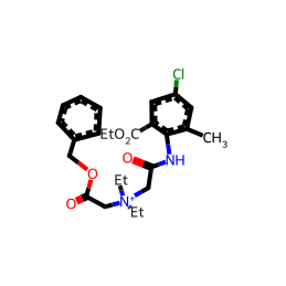 CCOC(=O)c1cc(Cl)cc(C)c1NC(=O)C[N+](CC)(CC)CC(=O)OCc1ccccc1